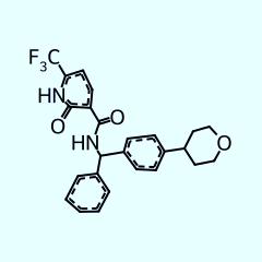 O=C(NC(c1ccccc1)c1ccc(C2CCOCC2)cc1)c1ccc(C(F)(F)F)[nH]c1=O